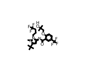 Cn1c(C(C)(C)C)cc(=NC(=O)c2cc(C(F)(F)F)ccc2OCC(C)(C)O)n1CCCC(F)(F)F